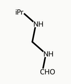 CC(C)NCNC=O